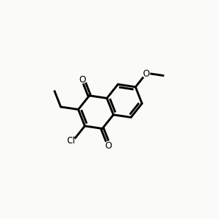 CCC1=C(Cl)C(=O)c2ccc(OC)cc2C1=O